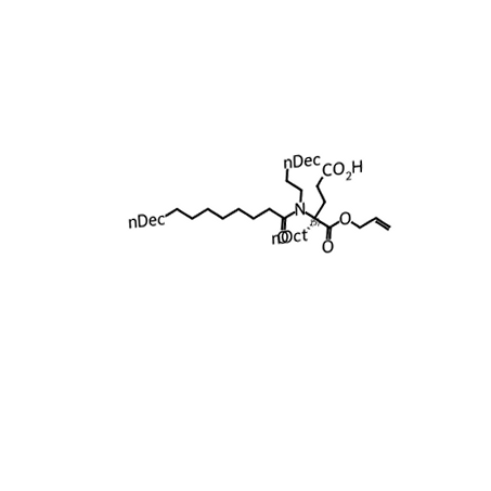 C=CCOC(=O)[C@](CCCCCCCC)(CCC(=O)O)N(CCCCCCCCCCCC)C(=O)CCCCCCCCCCCCCCCCC